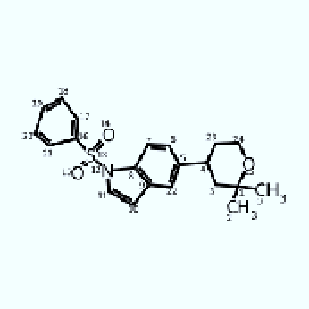 CC1(C)CC(c2ccc3c(ccn3S(=O)(=O)c3ccccc3)c2)CCO1